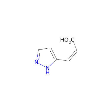 O=C(O)/C=C\c1ccn[nH]1